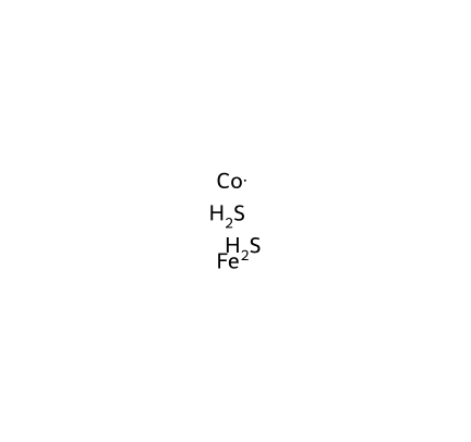 S.S.[Co].[Fe]